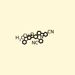 CC1(C)c2ccccc2-c2cc3c(cc21)oc1ccc(-c2c(C#N)cccc2-n2c4ccccc4c4cc(C#N)ccc42)cc13